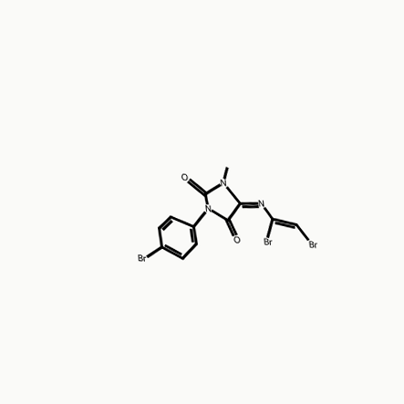 CN1C(=O)N(c2ccc(Br)cc2)C(=O)C1=NC(Br)=CBr